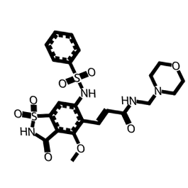 COc1c(/C=C/C(=O)NCN2CCOCC2)c(NS(=O)(=O)c2ccccc2)cc2c1C(=O)NS2(=O)=O